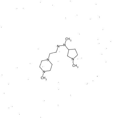 CN1CCN(CC[N]N(C)C2CCN(C)C2)CC1